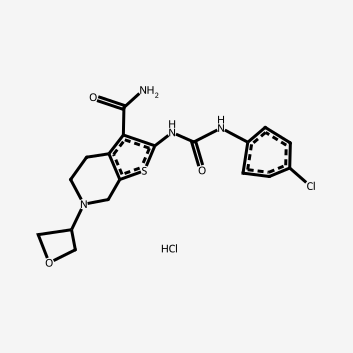 Cl.NC(=O)c1c(NC(=O)Nc2ccc(Cl)cc2)sc2c1CCN(C1COC1)C2